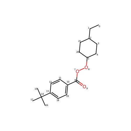 CCC1CC[C](OOC(=O)c2ccc(C(C)(C)C)cc2)CC1